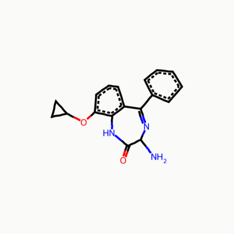 NC1N=C(c2ccccc2)c2cccc(OC3CC3)c2NC1=O